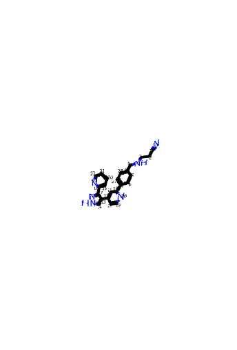 N#CCCNCc1ccc(-c2cc(-c3c[nH]nc3-c3ccccn3)ccn2)cc1